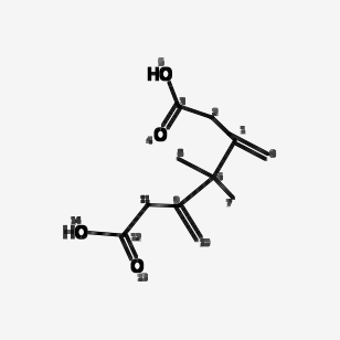 C=C(CC(=O)O)C(C)(C)C(=C)CC(=O)O